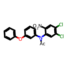 CC(=O)N(c1cccc(Oc2ccccc2)c1)c1cc(Cl)c(Cl)cc1[N+](=O)[O-]